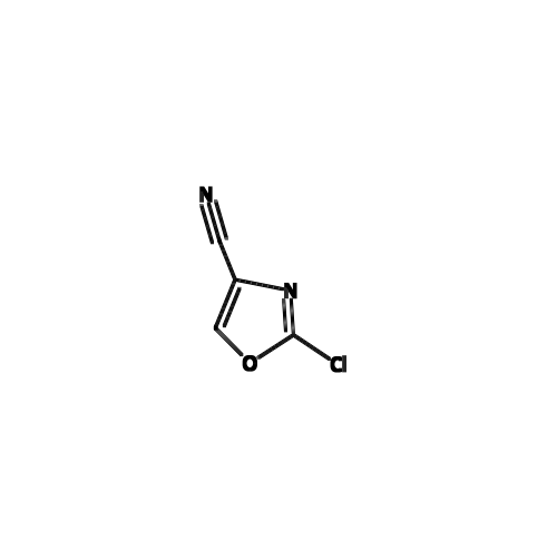 N#Cc1coc(Cl)n1